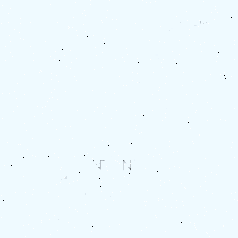 CC1=CC=C(c2ccnc(Cc3cccc(CCCCCC(C)C)c3)n2)C1